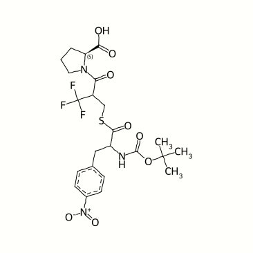 CC(C)(C)OC(=O)NC(Cc1ccc([N+](=O)[O-])cc1)C(=O)SCC(C(=O)N1CCC[C@H]1C(=O)O)C(F)(F)F